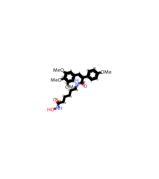 COc1ccc(C(=Cc2cc(OC)c(OC)c(OC)c2)C(=O)NCCCCCC(=O)NO)cc1